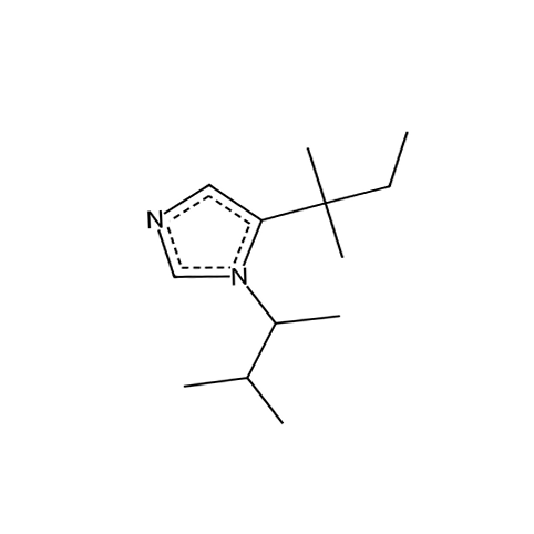 CCC(C)(C)c1cncn1C(C)C(C)C